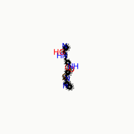 O=S(=O)(Nc1ccc(CCNCC(O)c2cccnc2)cc1)c1ccc(-c2nc(-c3cnc4ccccc4c3)cs2)cc1